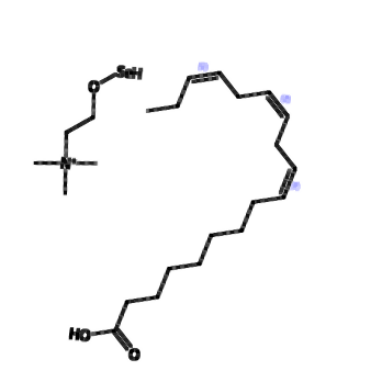 CC/C=C\C/C=C\C/C=C\CCCCCCCC(=O)O.C[N+](C)(C)CCO[SeH]